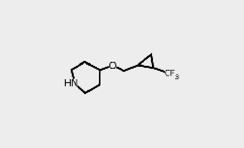 FC(F)(F)C1CC1COC1CCNCC1